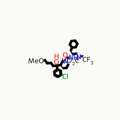 COCCCC[C@@](O)(c1cccc(Cl)c1)[C@@H]1CCCN(C(=O)N[C@@H](CC2CCCCC2)CN(CC(F)(F)F)C(=O)O)C1